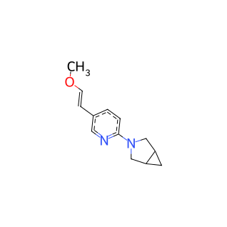 COC=Cc1ccc(N2CC3CC3C2)nc1